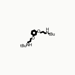 CC(C)(C)NCCCOc1cccc(OCCCNC(C)(C)C)c1